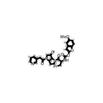 COc1ccc2oc(OC(=O)NC(CC(C)C)C(=O)N3CCC4C3C(=O)CN4C(=O)Cc3cccnc3)cc2c1